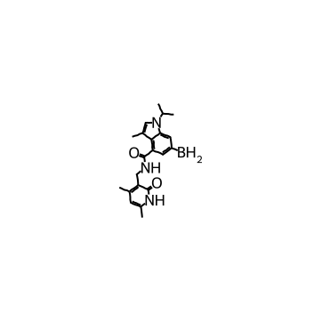 Bc1cc(C(=O)NCc2c(C)cc(C)[nH]c2=O)c2c(C)cn(C(C)C)c2c1